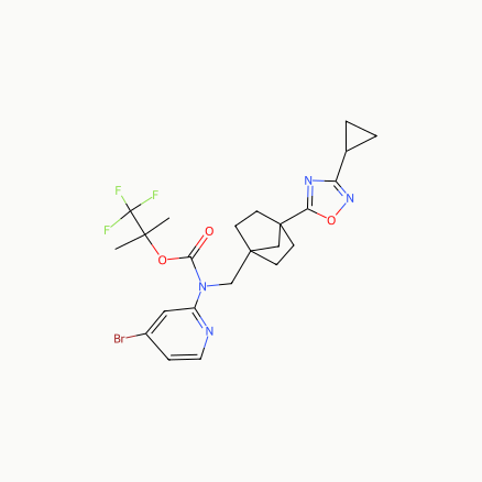 CC(C)(OC(=O)N(CC12CCC(c3nc(C4CC4)no3)(CC1)C2)c1cc(Br)ccn1)C(F)(F)F